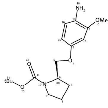 COc1cc(OC[C@H]2CCCN2C(=O)OC(C)(C)C)ccc1N